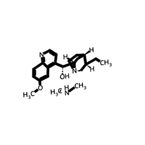 CC[C@H]1C[N@]2CC[C@H]1C[C@H]2[C@H](O)c1ccnc2ccc(OC)cc12.CNC